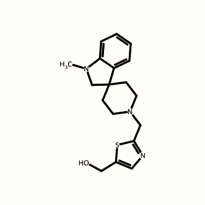 CN1CC2(CCN(Cc3ncc(CO)s3)CC2)c2ccccc21